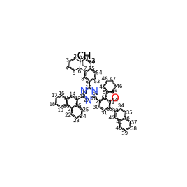 CC12C=CC=CC1c1cc(-c3nc(-c4cc5ccccc5c5ccccc45)nc(-c4ccc(-c5ccc6ccccc6c5)c5oc6ccccc6c45)n3)ccc1C=C2